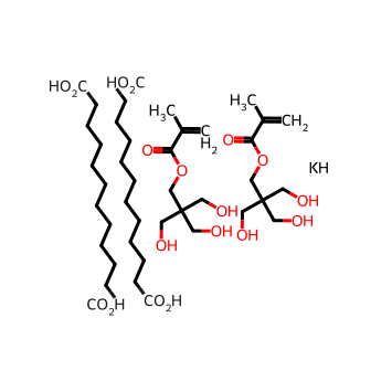 C=C(C)C(=O)OCC(CO)(CO)CO.C=C(C)C(=O)OCC(CO)(CO)CO.O=C(O)CCCCCCCCCCC(=O)O.O=C(O)CCCCCCCCCCC(=O)O.[KH]